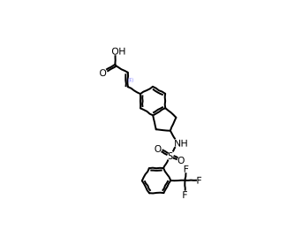 O=C(O)/C=C/c1ccc2c(c1)CC(NS(=O)(=O)c1ccccc1C(F)(F)F)C2